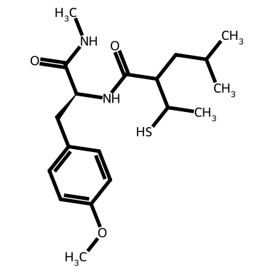 CNC(=O)[C@H](Cc1ccc(OC)cc1)NC(=O)C(CC(C)C)C(C)S